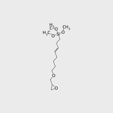 CO[Si](CCC=CCCCCOCC1CO1)(OC)OC